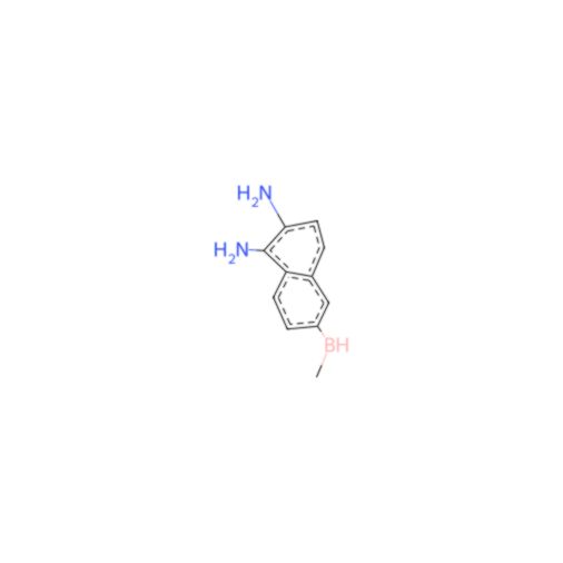 CBc1ccc2c(N)c(N)ccc2c1